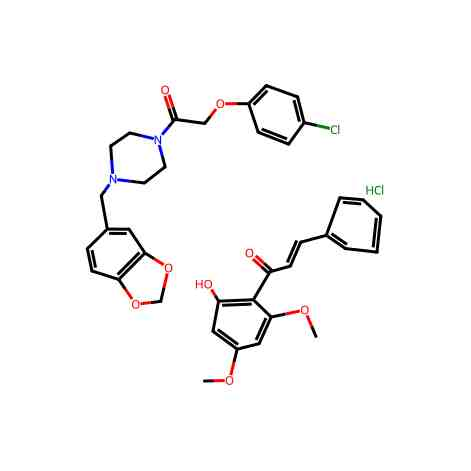 COc1cc(O)c(C(=O)C=Cc2ccccc2)c(OC)c1.Cl.O=C(COc1ccc(Cl)cc1)N1CCN(Cc2ccc3c(c2)OCO3)CC1